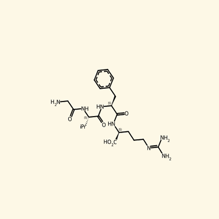 CC(C)[C@H](NC(=O)CN)C(=O)N[C@@H](Cc1ccccc1)C(=O)N[C@@H](CCCN=C(N)N)C(=O)O